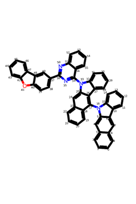 c1ccc2cc3c(cc2c1)c1ccccc1n3-c1c2ccccc2cc2c1c1ccccc1n2-c1nc(-c2ccc3oc4ccccc4c3c2)nc2ccccc12